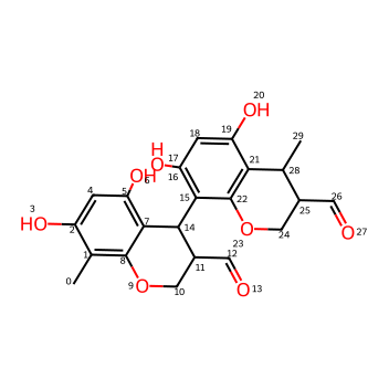 Cc1c(O)cc(O)c2c1OCC(C=O)C2c1c(O)cc(O)c2c1OCC(C=O)C2C